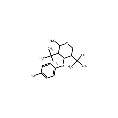 CC1OCC(C(C)(C)C)C(Oc2ccc(O)cc2)C1C(C)(C)C